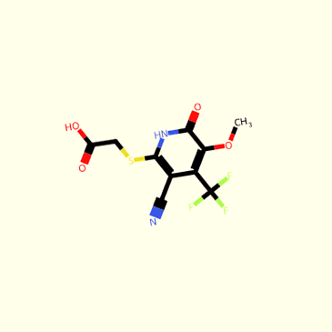 COc1c(C(F)(F)F)c(C#N)c(SCC(=O)O)[nH]c1=O